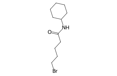 O=C(CCCCBr)NC1CCCCC1